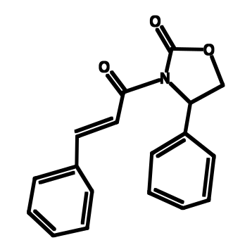 O=C(C=Cc1ccccc1)N1C(=O)OCC1c1ccccc1